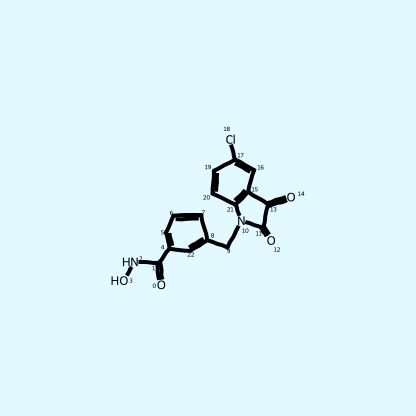 O=C(NO)c1cccc(CN2C(=O)C(=O)c3cc(Cl)ccc32)c1